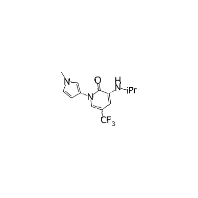 CC(C)Nc1cc(C(F)(F)F)cn(-c2ccn(C)c2)c1=O